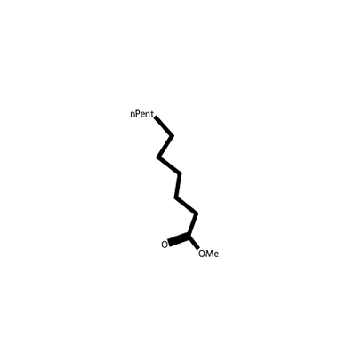 CCCCCCCC[CH]CC(=O)OC